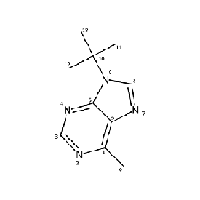 Cc1ncnc2c1ncn2C(C)(C)C